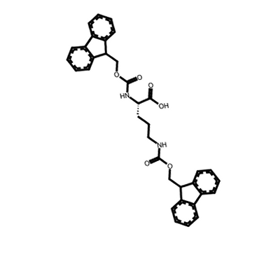 O=C(NCCC[C@H](NC(=O)OCC1c2ccccc2-c2ccccc21)C(=O)O)OCC1c2ccccc2-c2ccccc21